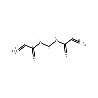 C=CC(=O)O[CH]OC(=O)C=C